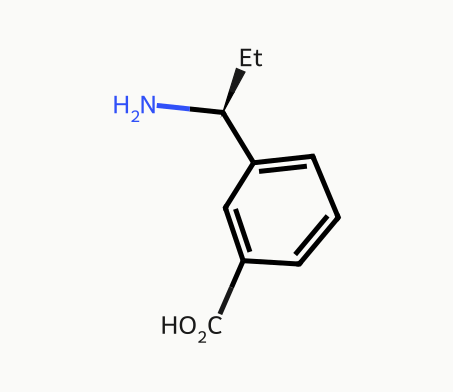 CC[C@H](N)c1cccc(C(=O)O)c1